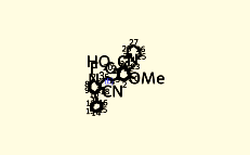 COc1cc(/C=C/c2nccc(-c3ccccc3)c2C#N)c(C(F)(F)F)cc1CN1CCCCC1C(=O)O